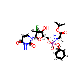 CC(C)OC(=O)[C@H](C)NP(=O)(OC[C@H]1O[C@@H](n2ccc(=O)[nH]c2=O)[C@](C)(F)C1O)Oc1ccccc1